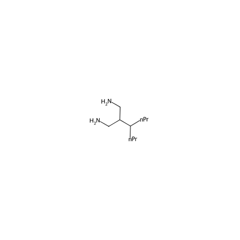 CCCC(CCC)C(CN)CN